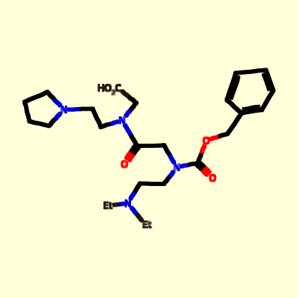 CCN(CC)CCN(CC(=O)N(CCN1CCCC1)CC(=O)O)C(=O)OCc1ccccc1